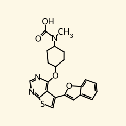 CN(C(=O)O)C1CCC(Oc2ncnc3scc(-c4cc5ccccc5o4)c23)CC1